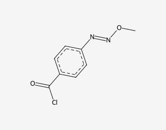 CON=Nc1ccc(C(=O)Cl)cc1